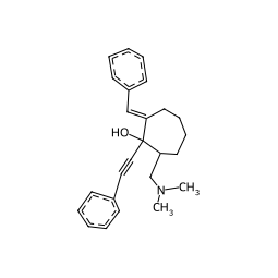 CN(C)CC1CCCCC(=Cc2ccccc2)C1(O)C#Cc1ccccc1